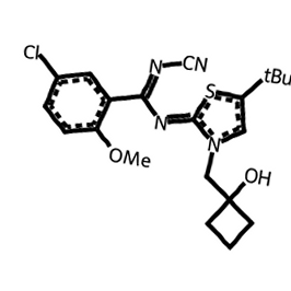 COc1ccc(Cl)cc1C(=NC#N)N=c1sc(C(C)(C)C)cn1CC1(O)CCC1